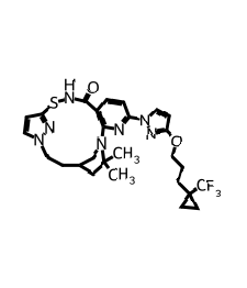 CC1(C)CC2CCn3ccc(n3)SNC(=O)c3ccc(-n4ccc(OCCCC5(C(F)(F)F)CC5)n4)nc3N1C2